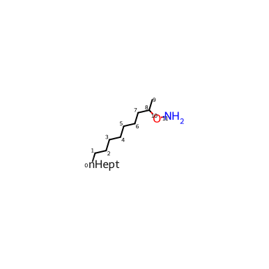 CCCCCCCCCCCCCCC(C)ON